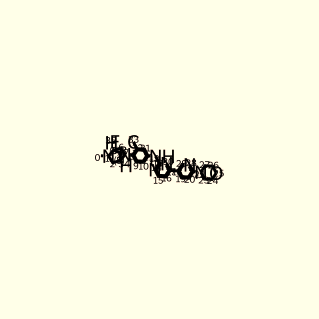 CN1C[C@@H]2C[C@H]1CN2c1ccc(Nc2nccc(-c3ccc(N4CCOCC4)nc3)n2)cc1C(F)(F)F